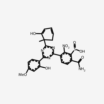 COc1ccc(-c2nc(-c3ccc(C(N)=O)c(S(=O)O)c3[N+](=O)[O-])nc(C3(C)CC=CC=C3O)n2)c(O)c1